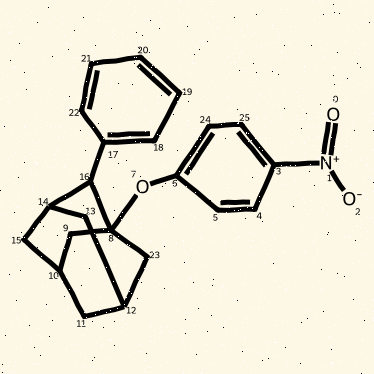 O=[N+]([O-])c1ccc(OC23CC4CC(CC(C4)C2c2ccccc2)C3)cc1